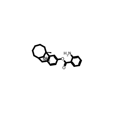 C[C@@]12CCCCCC(Cc3ccc(OC(=O)c4ccccc4N)cc31)[C@@H]2N